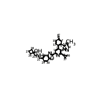 Cn1cnnc1-c1cc(F)ccc1-c1cc(-c2nc3cc(CNCC4(O)CCC4)ccc3o2)nc(C2CC2)c1